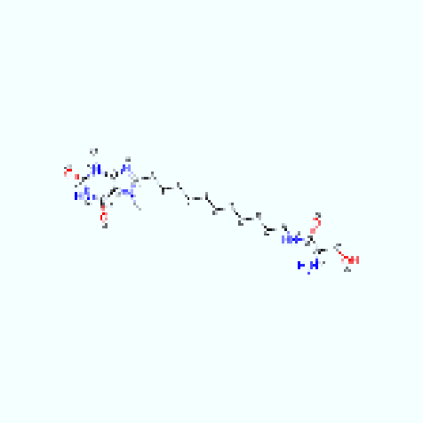 Cn1c(CCCCCCCCCCCNC(=O)C(N)CO)nc2c1c(=O)[nH]c(=O)n2C